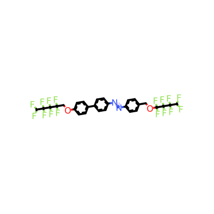 FC(F)C(F)(F)C(F)(F)C(F)(F)COc1ccc(-c2ccc(/N=N/c3ccc(COC(F)(F)C(F)(F)C(F)(F)C(F)F)cc3)cc2)cc1